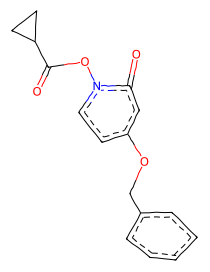 O=C(On1ccc(OCc2ccccc2)cc1=O)C1CC1